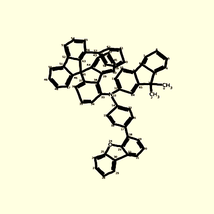 CC1(C)c2ccccc2-c2ccc(N(c3ccc(-c4cccc5c4oc4ccccc45)cc3)c3cccc4c3-c3ccccc3C43c4ccccc4-c4cccc(-c5ccccc5)c43)cc21